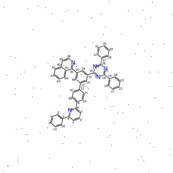 c1ccc(-c2cccc(-c3ccc(-c4cc(-c5nc(-c6ccccc6)nc(-c6ccccc6)n5)cc(-c5nccc6ccccc56)c4)cc3)n2)cc1